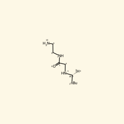 [2H][C@H](CCCC)NCC(=O)NCCN